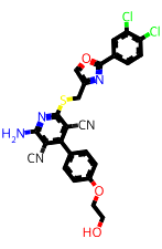 [C-]#[N+]c1c(N)nc(SCc2coc(-c3ccc(Cl)c(Cl)c3)n2)c(C#N)c1-c1ccc(OCCO)cc1